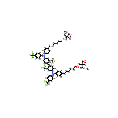 CCC1(COCCCCCCc2ccc(N(c3ccc(C(F)(F)F)cc3)c3ccc(-c4ccc(N(c5ccc(CCCCCCOCC6(CC)COC6)cc5)c5ccc(C(F)(F)F)cc5)cc4C(F)(F)F)c(C(F)(F)F)c3)cc2)COC1